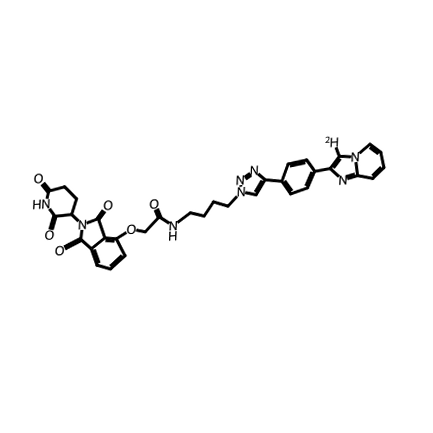 [2H]c1c(-c2ccc(-c3cn(CCCCNC(=O)COc4cccc5c4C(=O)N(C4CCC(=O)NC4=O)C5=O)nn3)cc2)nc2ccccn12